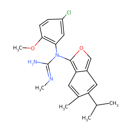 CN=C(N)N(c1cc(Cl)ccc1OC)c1occ2cc(C(C)C)c(C)cc12